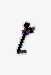 CCCCC/C=C/C/C=C/CCCCCCCCNC(=O)O/N=C(\C1=CC(=O)C(C)(C)O1)c1ccccc1